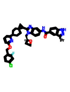 CC(C)c1n[nH]c2ccc(C(=O)Nc3ccc4c(c3)nc(C3CC35CCC(c3cccc(OCc6ccc(Cl)cc6F)n3)CC5)n4C[C@@H]3CCO3)cc12